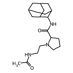 CC(=O)NCCN1CCCC1C(=O)NC1C2CC3CC(C2)CC1C3